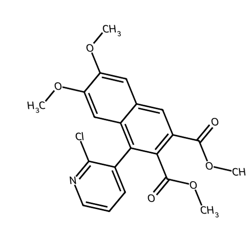 COC(=O)c1cc2cc(OC)c(OC)cc2c(-c2cccnc2Cl)c1C(=O)OC